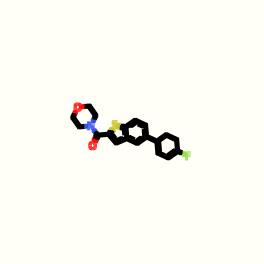 O=C(c1cc2cc(C3=CC=C(F)CC3)ccc2s1)N1CCOCC1